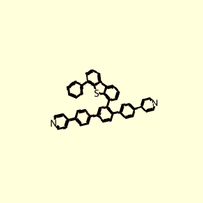 c1ccc(-c2cccc3c2sc2c(-c4cc(-c5ccc(-c6ccncc6)cc5)ccc4-c4ccc(-c5ccncc5)cc4)cccc23)cc1